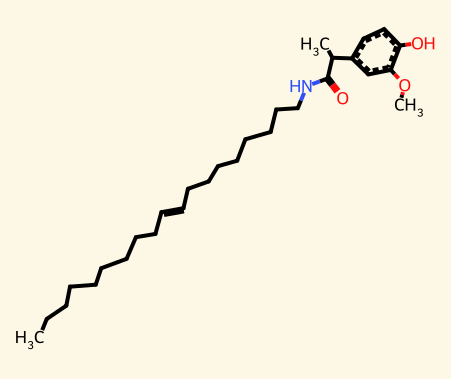 CCCCCCCCCC=CCCCCCCCCNC(=O)C(C)c1ccc(O)c(OC)c1